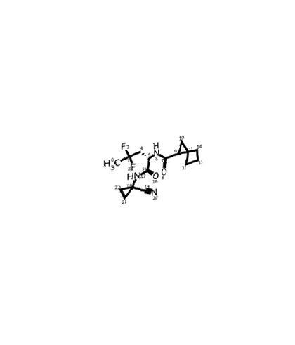 CC(F)(F)C[C@H](NC(=O)C1CC12CCC2)C(=O)NC1(C#N)CC1